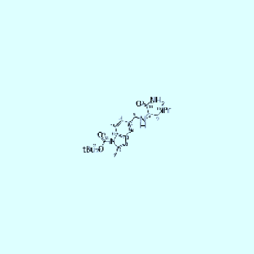 Cc1cc2cc(CNC(CC(C)C)C(N)=O)ccc2n1C(=O)OC(C)(C)C